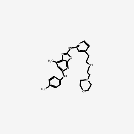 Cc1ccc(Nc2cc(C)c3nc(Nc4cc(CCNCCN5CCOCC5)ccn4)sc3n2)cc1